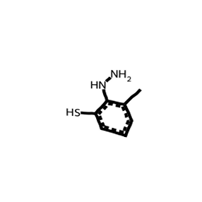 Cc1cccc(S)c1NN